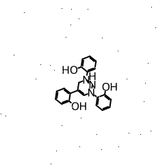 Oc1ccccc1C1=CN(c2ccccc2O)NN(c2ccccc2O)C1